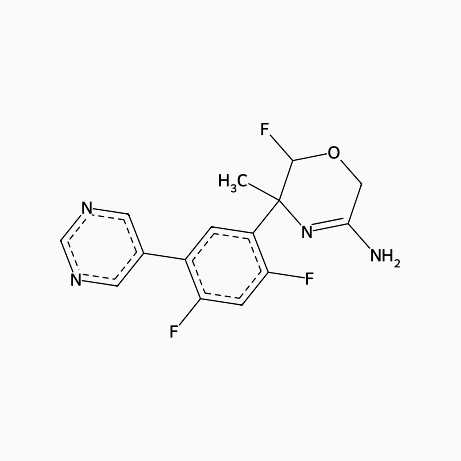 CC1(c2cc(-c3cncnc3)c(F)cc2F)N=C(N)COC1F